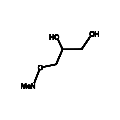 CNOCC(O)CO